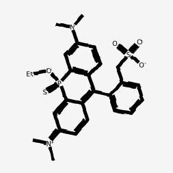 CCOP1(=S)C2=CC(=[N+](C)C)C=CC2=C(c2ccccc2CS(=O)(=O)[O-])c2ccc(N(C)C)cc21